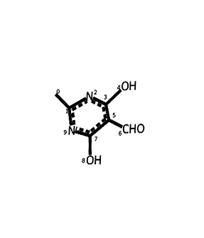 Cc1nc(O)c(C=O)c(O)n1